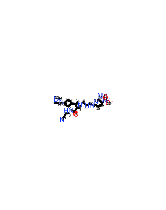 N#CCCNC(=O)c1cn(CCCNc2ccc([N+](=O)[O-])c(N)n2)cc1-c1ccc(-n2ccnc2)cc1